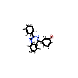 Brc1cccc(-c2nc(-c3ccccc3)nc3ccccc23)c1